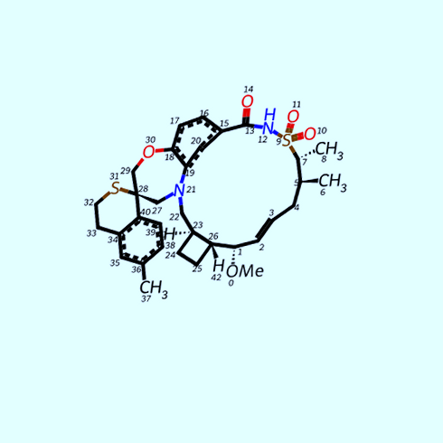 CO[C@H]1/C=C/C[C@H](C)[C@@H](C)S(=O)(=O)NC(=O)c2ccc3c(c2)N(C[C@@H]2CC[C@H]21)C[C@]1(CO3)SCCc2cc(C)ccc21